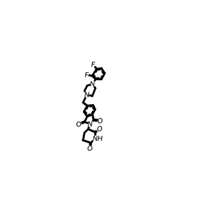 O=C1CCC(N2C(=O)c3ccc(CN4CCN(c5cccc(F)c5F)CC4)cc3C2=O)C(=O)N1